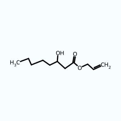 C=CCOC(=O)CC(O)CCCCC